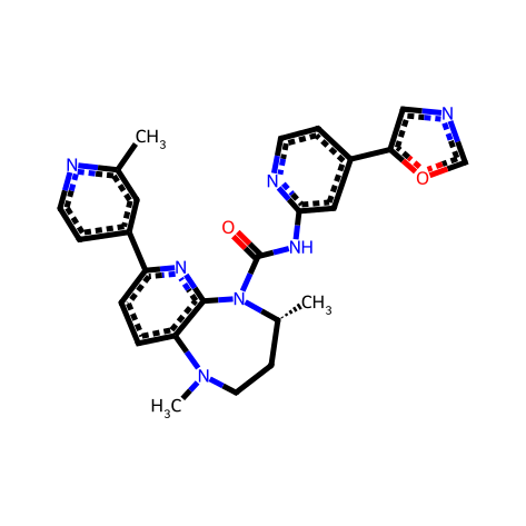 Cc1cc(-c2ccc3c(n2)N(C(=O)Nc2cc(-c4cnco4)ccn2)[C@H](C)CCN3C)ccn1